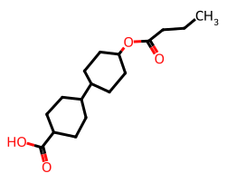 CCCC(=O)OC1CCC(C2CCC(C(=O)O)CC2)CC1